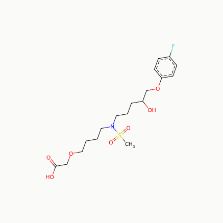 CS(=O)(=O)N(CCCCOCC(=O)O)CCCC(O)COc1ccc(F)cc1